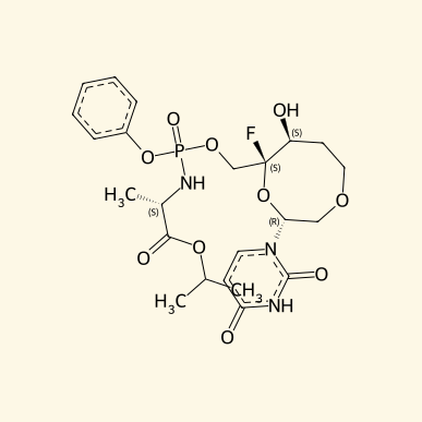 CC(C)OC(=O)[C@H](C)NP(=O)(OC[C@@]1(F)O[C@@H](n2ccc(=O)[nH]c2=O)COCC[C@@H]1O)Oc1ccccc1